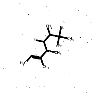 C/C=C(\C)C(C)C(F)C(C)C(C)(CC)CCC